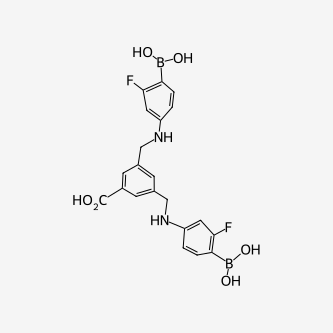 O=C(O)c1cc(CNc2ccc(B(O)O)c(F)c2)cc(CNc2ccc(B(O)O)c(F)c2)c1